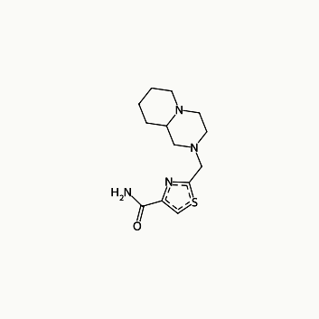 NC(=O)c1csc(CN2CCN3CCCCC3C2)n1